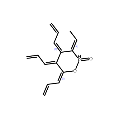 C=CC=C1C(=C/C=C)/C(=C\C)[PH](=O)O/C1=C/C=C